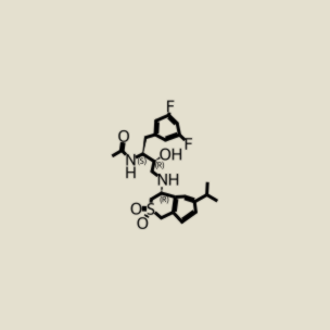 CC(=O)N[C@@H](Cc1cc(F)cc(F)c1)[C@H](O)CN[C@H]1CS(=O)(=O)Cc2ccc(C(C)C)cc21